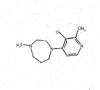 Cc1nccc(N2CCCN(C)CC2)c1Cl